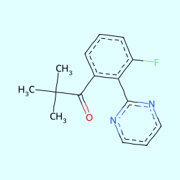 CC(C)(C)C(=O)c1cccc(F)c1-c1ncccn1